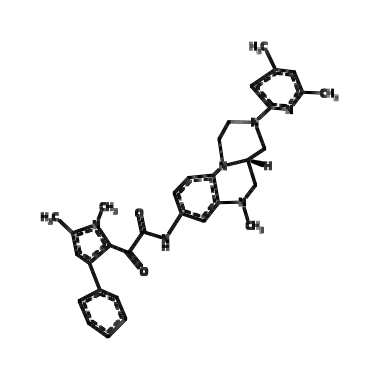 Cc1cc(C)nc(N2CCN3c4ccc(NC(=O)C(=O)c5c(-c6ccccc6)cc(C)n5C)cc4N(C)C[C@H]3C2)c1